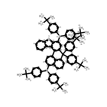 CC(C)(C)c1ccc(N(c2ccc(C(C)(C)C)cc2)c2ccc3c4c(cccc24)C(c2ccc(C(C)(C)C)cc2)(c2ccc(C(C)(C)C)cc2)c2cc(N(c4ccc(C(C)(C)C)cc4)c4ccc(C(C)(C)C)cc4)c4oc5ccccc5c4c2-3)cc1